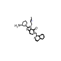 C/C=C/Cn1c(N2CCCC(N)C2)nc2ccn(Cc3nccc4ccccc34)c(=O)c21